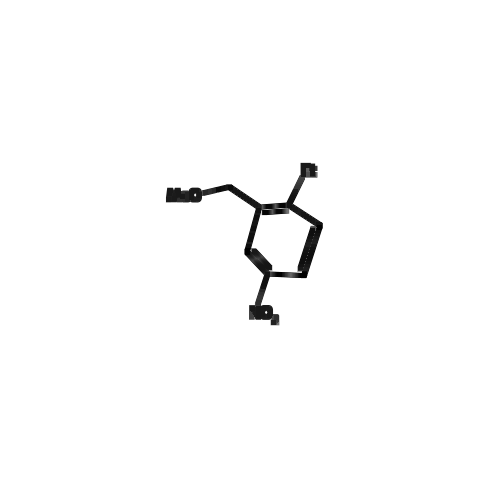 CCc1ccc([N+](=O)[O-])cc1COC